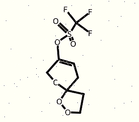 O=S(=O)(OC1=CCC2(CCOO2)CC1)C(F)(F)F